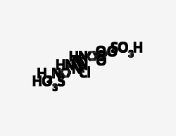 Nc1cc(Nc2nc(Cl)nc(Nc3ccc(S(=O)(=O)CCOS(=O)(=O)O)cc3)n2)ccc1S(=O)(=O)O